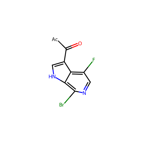 CC(=O)C(=O)c1c[nH]c2c(Br)ncc(F)c12